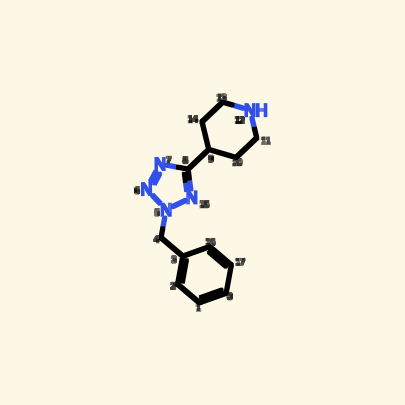 c1ccc(Cn2nnc(C3CCNCC3)n2)cc1